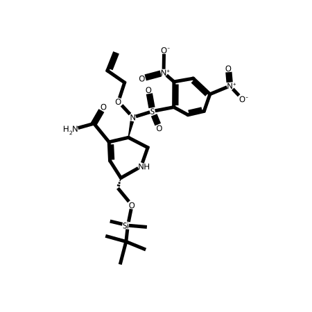 C=CCON([C@H]1CN[C@H](CO[Si](C)(C)C(C)(C)C)C=C1C(N)=O)S(=O)(=O)c1ccc([N+](=O)[O-])cc1[N+](=O)[O-]